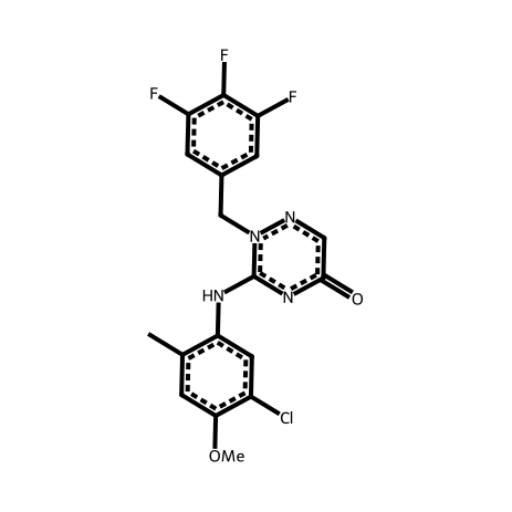 COc1cc(C)c(Nc2nc(=O)cnn2Cc2cc(F)c(F)c(F)c2)cc1Cl